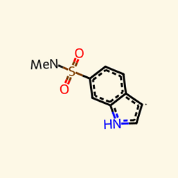 CNS(=O)(=O)c1ccc2[c]c[nH]c2c1